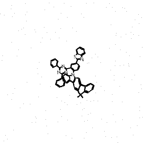 CC1(C)c2ccccc2-c2cc3c(cc21)c1ccccc1n3-c1ccc(-c2nc3ccccc3s2)cc1-c1nc(-c2ccccc2)nc(-c2ccccc2)n1